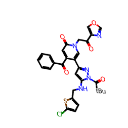 CC(C)(C)C(=O)n1nc(-c2cn(CC(=O)c3cocn3)c(=O)cc2C(=O)c2ccccc2)cc1NCc1ccc(Cl)s1